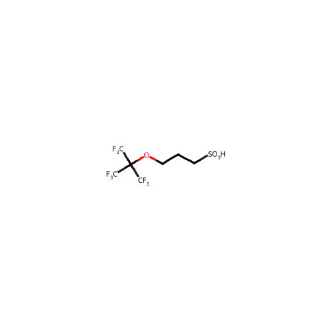 O=S(=O)(O)CCCOC(C(F)(F)F)(C(F)(F)F)C(F)(F)F